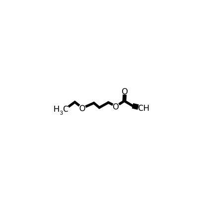 C#CC(=O)OCCCOCC